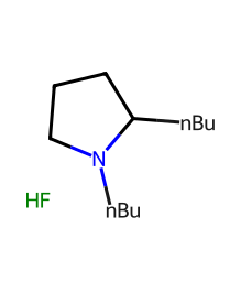 CCCCC1CCCN1CCCC.F